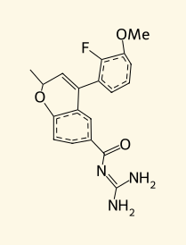 COc1cccc(C2=CC(C)Oc3ccc(C(=O)N=C(N)N)cc32)c1F